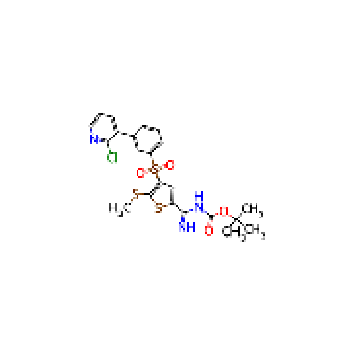 CSc1sc(C(=N)NC(=O)OC(C)(C)C)cc1S(=O)(=O)c1cccc(-c2cccnc2Cl)c1